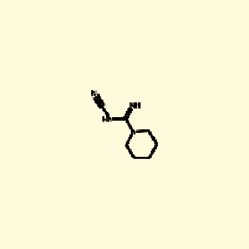 N#CNC(=N)N1CCCCC1